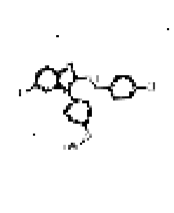 CCCCOc1ccc(-n2c(NCc3ccc(Cl)cc3)nc3ccc(Cl)cc32)cc1